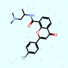 CC(CN(C)C)NC(=O)c1cccc2c(=O)cc(-c3ccc(Cl)cc3)oc12